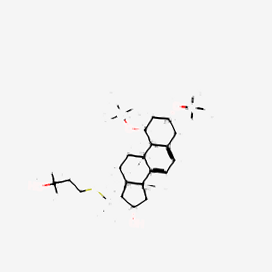 C[C@H](SCCC(C)(C)O)[C@H]1[C@@H](O)C[C@H]2C3=CC=C4C[C@@H](O[Si](C)(C)C(C)(C)C)C[C@H](O[Si](C)(C)C(C)(C)C)[C@]4(C)[C@H]3CC[C@]12C